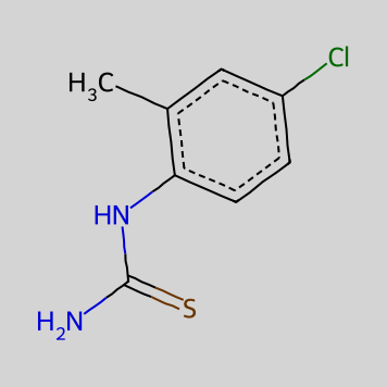 Cc1cc(Cl)ccc1NC(N)=S